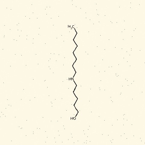 CCCCCCCCNCCCCCO